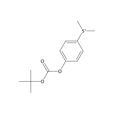 C[S+](C)c1ccc(OC(=O)OC(C)(C)C)cc1